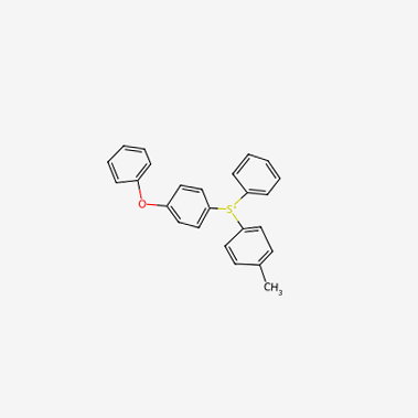 Cc1ccc([S+](c2ccccc2)c2ccc(Oc3ccccc3)cc2)cc1